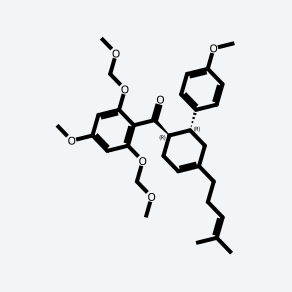 COCOc1cc(OC)cc(OCOC)c1C(=O)[C@@H]1CC=C(CCC=C(C)C)C[C@H]1c1ccc(OC)cc1